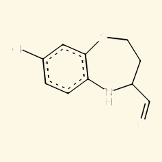 O=CC1CCSc2cc(Cl)ccc2N1